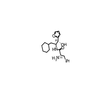 CC(C)C[C@H](N)C(=O)NC(CC1CCCCC1)[C@@H](O)c1ccco1